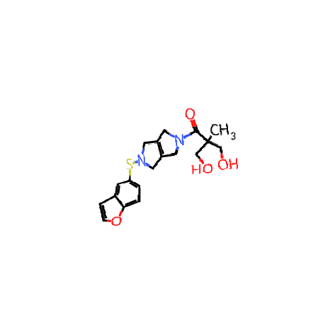 CC(CO)(CO)C(=O)N1CC2=C(CN(Sc3ccc4occc4c3)C2)C1